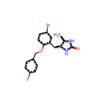 C=c1[nH]c(=O)[nH]/c1=C/c1cc(Br)ccc1OCc1ccc(F)cc1